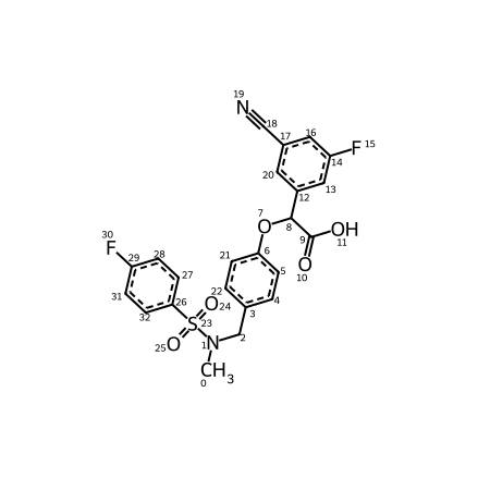 CN(Cc1ccc(OC(C(=O)O)c2cc(F)cc(C#N)c2)cc1)S(=O)(=O)c1ccc(F)cc1